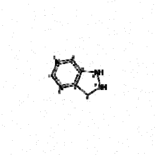 c1ncc2c(n1)CNN2